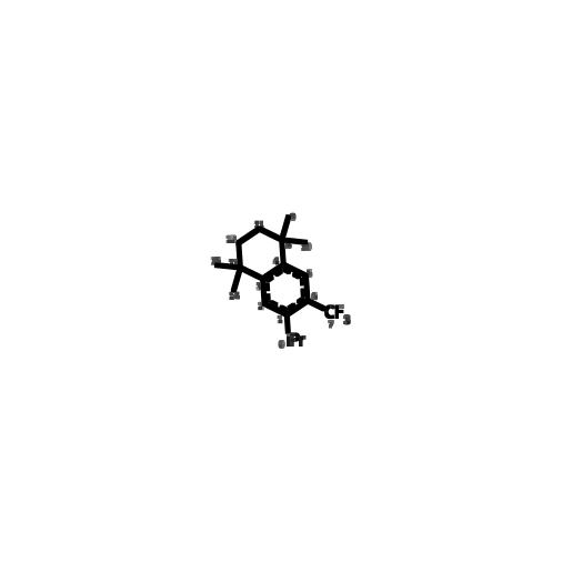 CC(C)c1cc2c(cc1C(F)(F)F)C(C)(C)CCC2(C)C